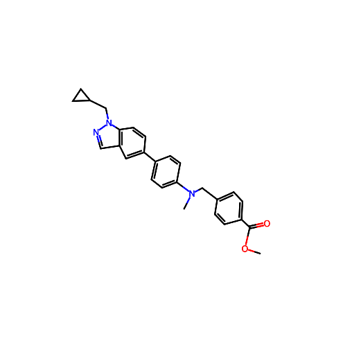 COC(=O)c1ccc(CN(C)c2ccc(-c3ccc4c(cnn4CC4CC4)c3)cc2)cc1